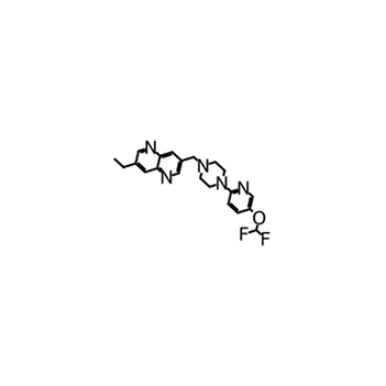 CCc1cnc2cc(CN3CCN(c4ccc(OC(F)F)cn4)CC3)cnc2c1